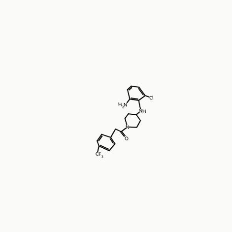 Nc1cccc(Cl)c1NC1CCN(C(=O)Cc2ccc(C(F)(F)F)cc2)CC1